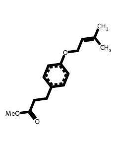 COC(=O)CCc1ccc(OCC=C(C)C)cc1